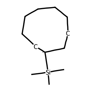 C[Si](C)(C)[C]1CCCCCCCC1